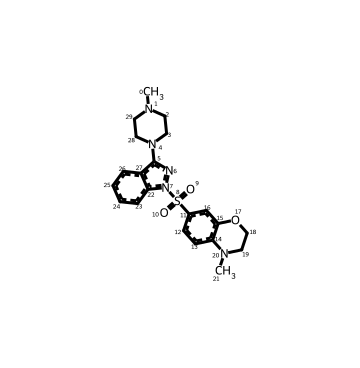 CN1CCN(c2nn(S(=O)(=O)c3ccc4c(c3)OCCN4C)c3ccccc23)CC1